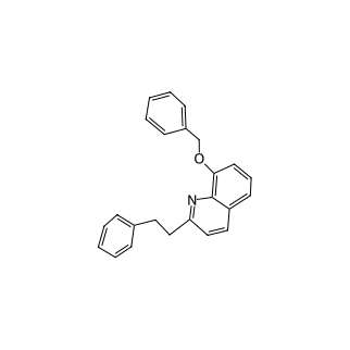 c1ccc(CCc2ccc3cccc(OCc4ccccc4)c3n2)cc1